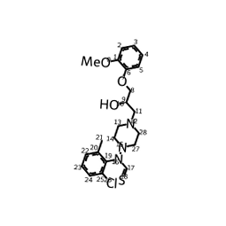 COc1ccccc1OC[C@H](O)CN1CCN(N(C=S)c2c(C)cccc2Cl)CC1